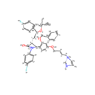 CC(C)(C)[Si](C)(C)O[C@@H](CC[C@H]1C(=O)N(c2ccc(F)cc2)[C@@H]1c1ccc(OC/C=C/Cn2ccnc2)cc1OCc1ccccc1)c1ccc(F)cc1